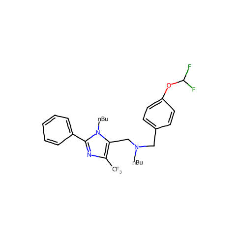 CCCCN(Cc1ccc(OC(F)F)cc1)Cc1c(C(F)(F)F)nc(-c2ccccc2)n1CCCC